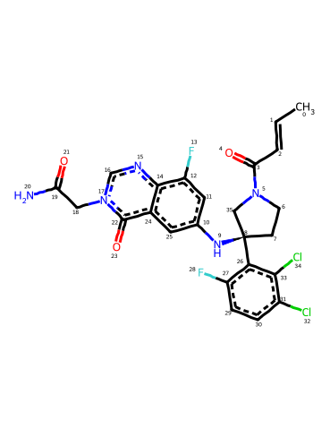 C/C=C/C(=O)N1CC[C@](Nc2cc(F)c3ncn(CC(N)=O)c(=O)c3c2)(c2c(F)ccc(Cl)c2Cl)C1